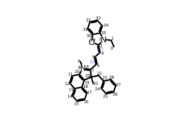 CCN1/C(=C/C=C/C2=[N+](C)c3ccc4ccccc4c3C2(C)Cc2ccccc2)Oc2ccccc21